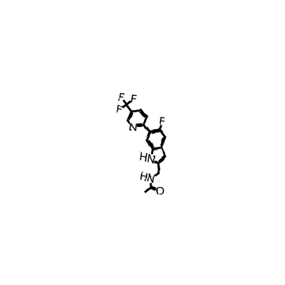 CC(=O)NCc1cc2cc(F)c(-c3ccc(C(F)(F)F)cn3)cc2[nH]1